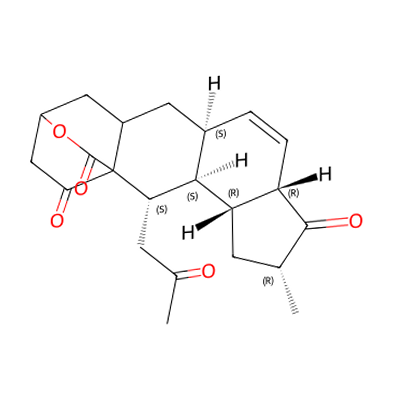 CC(=O)C[C@H]1[C@@H]2[C@H]3C[C@@H](C)C(=O)[C@H]3C=C[C@@H]2CC2CC3CC(=O)C21C(=O)O3